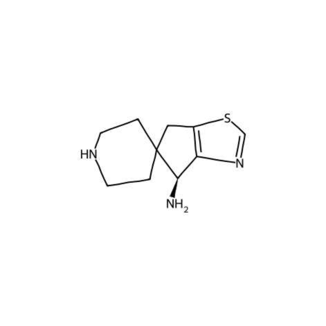 N[C@@H]1c2ncsc2CC12CCNCC2